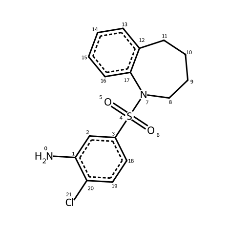 Nc1cc(S(=O)(=O)N2CCCCc3ccccc32)ccc1Cl